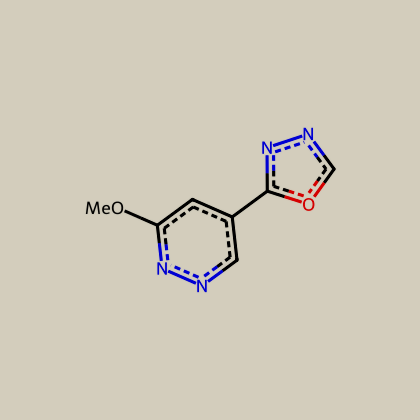 COc1cc(-c2nnco2)cnn1